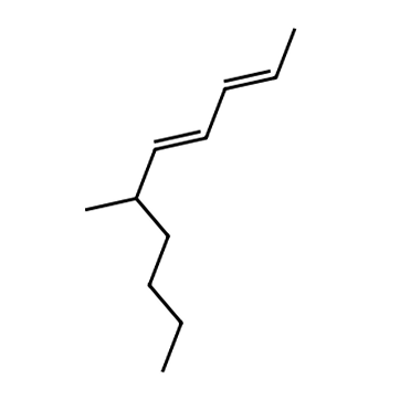 CC=CC=CC(C)CCCC